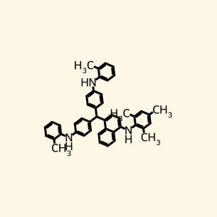 Cc1cc(C)c(Nc2ccc(C(c3ccc(Nc4ccccc4C)cc3)c3ccc(Nc4ccccc4C)cc3)c3ccccc23)c(C)c1